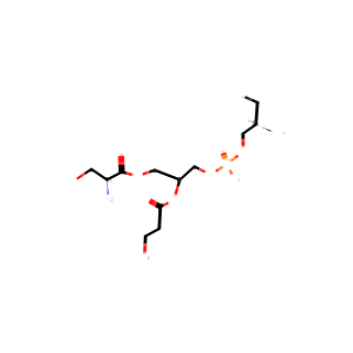 CC(=O)OC[C@H](COP(=O)(O)OCC(COC(=O)[C@@H](N)CO)OC(=O)CCO)OC(C)=O